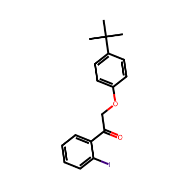 CC(C)(C)c1ccc(OCC(=O)c2ccccc2I)cc1